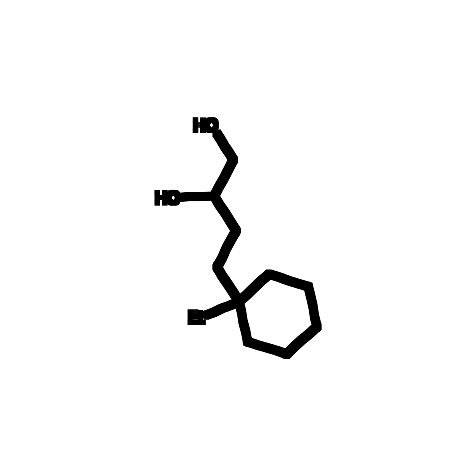 [CH2]CC1(CCC(O)CO)CCCCC1